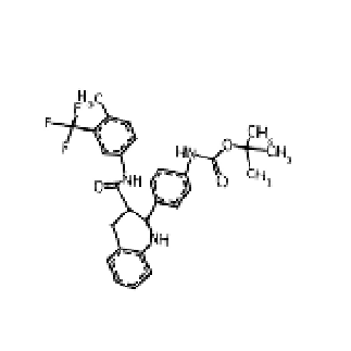 Cc1ccc(NC(=O)C2Cc3ccccc3NC2c2ccc(NC(=O)OC(C)(C)C)cc2)cc1C(F)(F)F